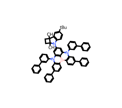 CC(C)(C)c1ccc2c(c1)C1(C)CCC1(C)N2c1cc2c3c(c1)N(c1cccc(-c4ccccc4)c1)c1cc(-c4ccccc4)ccc1B3c1ccc(-c3ccccc3)cc1N2c1cccc(-c2ccccc2)c1